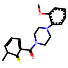 COc1ccccc1N1CCN(C(=O)C2=CC=CC(C)C2=S)CC1